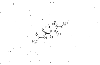 CC(=O)NC(=O)C(Cl)C(O)C(O)C(O)CO